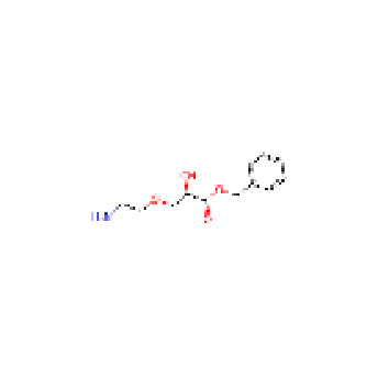 NCCOCC(O)C(=O)OCc1ccccc1